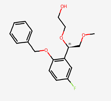 COC[C@H](OCCO)c1cc(F)ccc1OCc1ccccc1